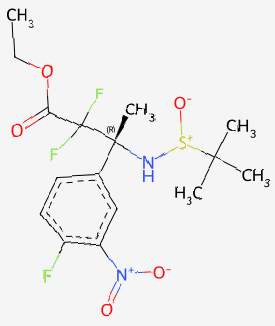 CCOC(=O)C(F)(F)[C@](C)(N[S+]([O-])C(C)(C)C)c1ccc(F)c([N+](=O)[O-])c1